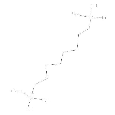 CCCCC[Si](C)(C)CCCCCCCC[Si](C)(Br)Br